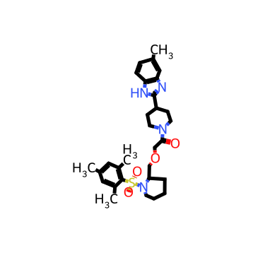 Cc1cc(C)c(S(=O)(=O)N2CCCCC2COCC(=O)N2CCC(c3nc4cc(C)ccc4[nH]3)CC2)c(C)c1